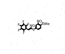 COc1ccc(S/C(=C/c2c(F)c(F)c(F)c(F)c2F)[N+](=O)[O-])cc1[N+](=O)[O-]